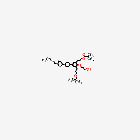 C=C(C)COCCCc1cc(C2CCC(C3CCC(CCCCC)CC3)CC2)cc(CCCOC(=O)C(=C)C)c1OCCCO